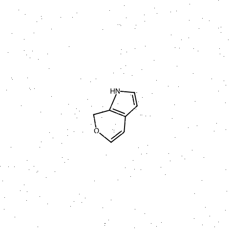 [c]1cc2c([nH]1)COC=C2